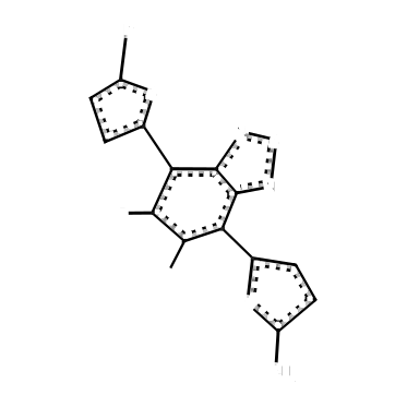 Bc1ccc(-c2c(F)c(F)c(-c3ccc(Br)s3)c3nsnc23)s1